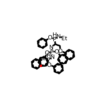 CC/N=[PH](/Oc1ccccc1)C(COc1ccccc1)N=P(N=[PH](Oc1ccccc1)Oc1ccccc1)(Oc1ccccc1)Oc1ccccc1